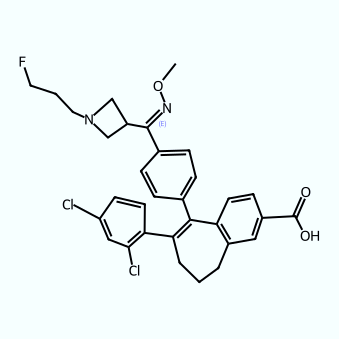 CO/N=C(/c1ccc(C2=C(c3ccc(Cl)cc3Cl)CCCc3cc(C(=O)O)ccc32)cc1)C1CN(CCCF)C1